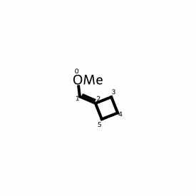 COC=C1CCC1